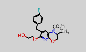 CC1COc2nc(OCCO)c(Cc3ccc(F)cc3)cc2N1C(=O)O